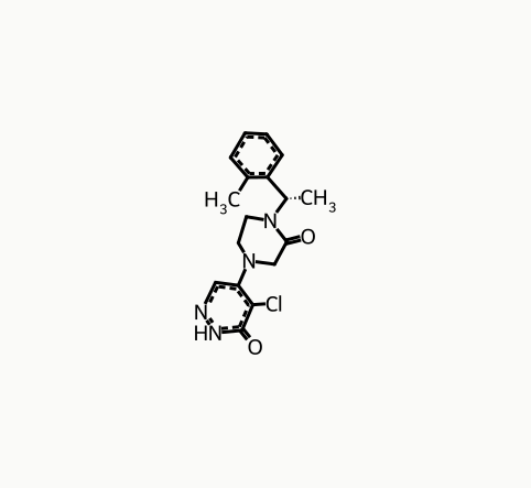 Cc1ccccc1[C@H](C)N1CCN(c2cn[nH]c(=O)c2Cl)CC1=O